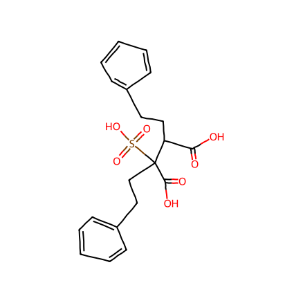 O=C(O)C(CCc1ccccc1)C(CCc1ccccc1)(C(=O)O)S(=O)(=O)O